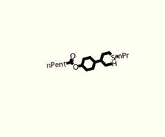 CCCCCC(=O)OC1CCC(C2CC[SiH](CCC)CC2)CC1